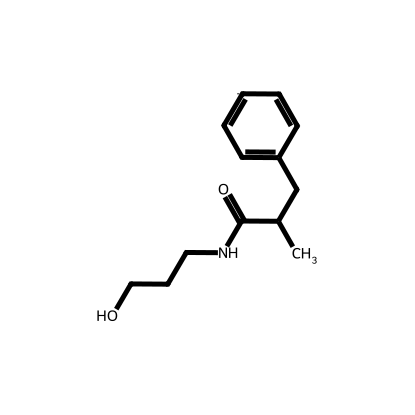 CC(Cc1cc[c]cc1)C(=O)NCCCO